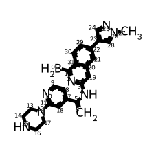 Bc1nc(NC(=C)c2ccnc(N3CCNCC3)c2)cc2cc(-c3cnn(C)c3)ccc12